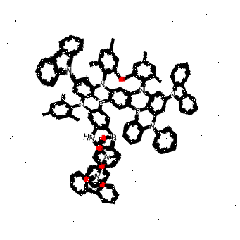 Cc1cc(C)c(N2c3cc4c(cc3B3c5ccccc5N(c5ccccc5)c5cc(-n6c7ccccc7c7ccccc76)cc2c53)B2c3cc5c(cc3N(c3c(C)cc(C)cc3C)c3cc(-n6c7ccccc7c7ccccc76)cc(c32)N4c2c(C)cc(C)cc2C)Nc2cc(-n3c4ccccc4c4ccccc43)cc3c2B5c2ccccc2N3c2ccccc2)c(C)c1